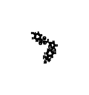 Cc1ccc(S(=O)(=O)OC[C@H]2CC[C@](C)(c3ccc(C(F)(F)F)cc3)O2)cc1